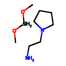 CO[SiH2]OC.NCCN1CCCC1